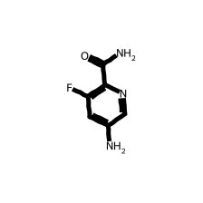 NC(=O)c1ncc(N)cc1F